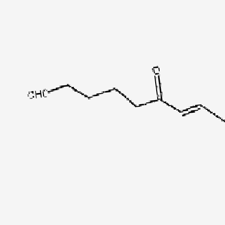 CC=CC(=O)CCCCC=O